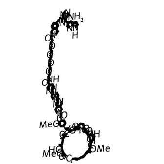 CO[C@H]1C[C@@H]2CC[C@@H](C)[C@@](O)(O2)C(=O)C(=O)N2CCCC[C@H]2C(=O)O[C@H]([C@H](C)C[C@@H]2CC[C@@H](OC(=O)N3CCc4nc(N5CCN(c6ncc(C(=O)NCCOCCOCCOCCOCCC(=O)N7CCc8cc(Cn9nc(-c%10cnc%11[nH]ccc%11c%10)c%10c(N)ncnc%109)ccc8C7)cn6)CC5)ncc4C3)[C@H](OC)C2)CC(=O)[C@H](C)/C=C(\C)[C@@H](O)[C@@H](OC)C(=O)[C@H](C)C[C@H](C)/C=C/C=C/C=C/1C